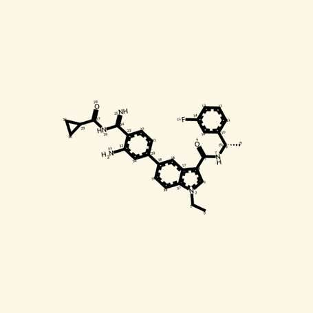 CCn1cc(C(=O)N[C@@H](C)c2cccc(F)c2)c2cc(-c3ccc(C(=N)NC(=O)C4CC4)c(N)c3)ccc21